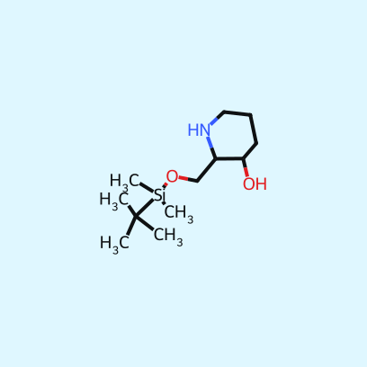 CC(C)(C)[Si](C)(C)OCC1NCCCC1O